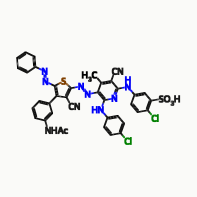 CC(=O)Nc1cccc(-c2c(N=Nc3ccccc3)sc(N=Nc3c(Nc4ccc(Cl)cc4)nc(Nc4ccc(Cl)c(S(=O)(=O)O)c4)c(C#N)c3C)c2C#N)c1